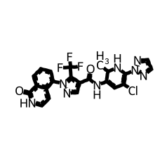 CC1NC(n2nccn2)=C(Cl)C=C1NC(=O)c1cnn(-c2cccc3c(=O)[nH]ccc23)c1C(F)(F)F